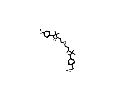 COc1ccc(C2OC(CCOCCC3OC(c4ccc(CO)cc4)C3(C)C)C2(C)C)cc1